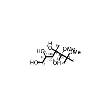 COC(C)(C)[C@](C)(OC)[C@@](C)(O)[C@H](O)[C@H](O)CO